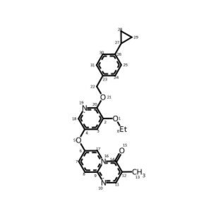 CCOc1cc(Oc2ccc3ncc(C)c(=O)n3c2)cnc1OCc1ccc(C2CC2)cc1